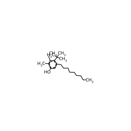 CCCCCCCCCc1cc(O)c(C)c(CC)c1C(C)(C)C